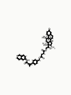 C[C@@H]1C[C@H]2[C@@H]3CCC4=CC(=O)C=C[C@]4(C)[C@@]3(F)[C@@H](O)C[C@]2(C)[C@@]1(O)C(=O)COC(=O)CCC(=O)OCc1ccc(C2CC2C(=O)Nc2ccc3cnccc3c2)cc1